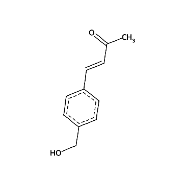 CC(=O)C=Cc1ccc(CO)cc1